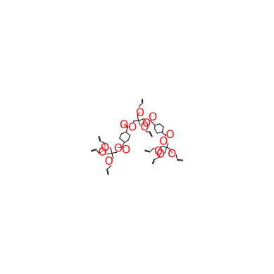 C=CCOCC(COCC=C)(COCC=C)COC(=O)C1CCC(C(=O)OCC(COCC=C)(COCC=C)COC(=O)C2CCC(C(=O)OCC(COCC=C)(COCC=C)COCC=C)CC2)CC1